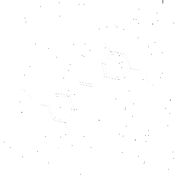 N#COc1cc(/C=C/c2cc(OC#N)cc(OC#N)c2)cc(OC#N)c1